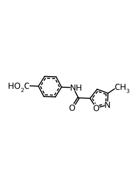 Cc1cc(C(=O)Nc2ccc(C(=O)O)cc2)on1